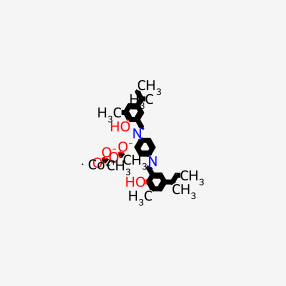 CC(=O)[O-].CC(=O)[O-].CCC(C)c1cc(C)c(O)c(C=Nc2ccc(N=Cc3cc(C(C)CC)cc(C)c3O)cc2)c1.[Co+2]